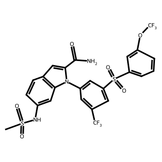 CS(=O)(=O)Nc1ccc2cc(C(N)=O)n(-c3cc(C(F)(F)F)cc(S(=O)(=O)c4cccc(OC(F)(F)F)c4)c3)c2c1